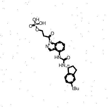 CC(C)(C)c1ccc2c(c1)CC[C@H]2NC(=O)Nc1cccc2c1cnn2C(=O)CCOP(=O)(O)O